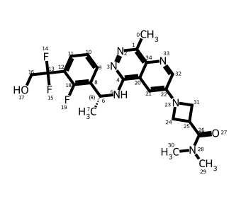 Cc1nnc(N[C@H](C)c2cccc(C(F)(F)CO)c2F)c2cc(N3CC(C(=O)N(C)C)C3)cnc12